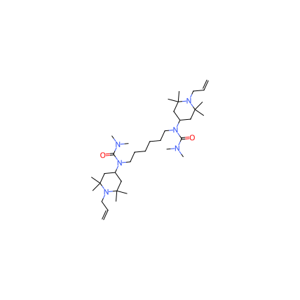 C=CCN1C(C)(C)CC(N(CCCCCCN(C(=O)N(C)C)C2CC(C)(C)N(CC=C)C(C)(C)C2)C(=O)N(C)C)CC1(C)C